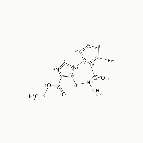 CCOC(=O)c1ncn2c1CN(C)C(=O)c1c(F)cccc1-2